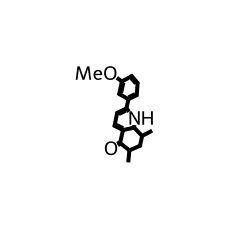 COc1cccc(C2=CC=C3C(=O)C(C)CC(C)C3N2)c1